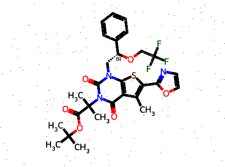 Cc1c(-c2ncco2)sc2c1c(=O)n(C(C)(C)C(=O)OC(C)(C)C)c(=O)n2C[C@@H](OCC(F)(F)F)c1ccccc1